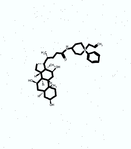 C=CC[N+]1(c2ccccc2)CCC(NC(=O)CC[C@@H](C)[C@H]2CC[C@H]3[C@@H]4[C@H](O)C[C@@H]5C[C@H](O)CC[C@]5(C)[C@H]4C[C@H](O)[C@]23C)CC1